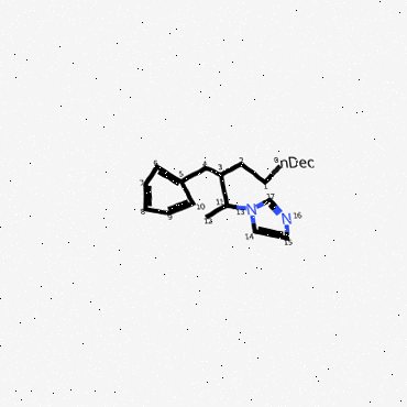 CCCCCCCCCCCCC(Cc1ccccc1)C(C)n1ccnc1